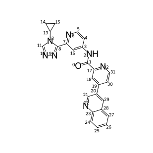 O=C(Nc1ccnc(-c2nncn2C2CC2)c1)c1cc(-c2cnc3ccccc3c2)ccn1